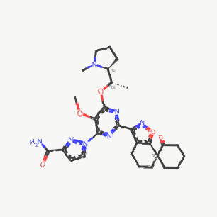 COc1c(O[C@@H](C)[C@@H]2CCCN2C)nc(-c2noc3c2CCC[C@@]32CCCCC2=O)nc1-n1ccc(C(N)=O)n1